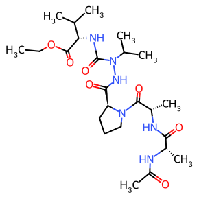 CCOC(=O)[C@@H](NC(=O)N(NC(=O)[C@@H]1CCCN1C(=O)[C@H](C)NC(=O)[C@H](C)NC(C)=O)C(C)C)C(C)C